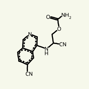 N#Cc1ccc2cncc(NC(C#N)COC(N)=O)c2c1